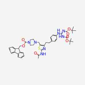 CC(=O)Nc1nc(CCc2ccc(N/C(=N/C(=O)OC(C)(C)C)NC(=O)OC(C)(C)C)cc2)c(CN2CCN(C(=O)OCC3c4ccccc4-c4ccccc43)CC2)s1